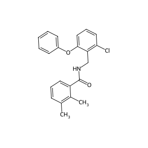 Cc1cccc(C(=O)NCc2c(Cl)cccc2Oc2ccccc2)c1C